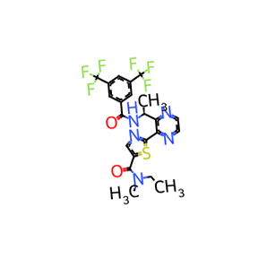 CCN(C)C(=O)c1cnc(-c2nccnc2[C@H](C)NC(=O)c2cc(C(F)(F)F)cc(C(F)(F)F)c2)s1